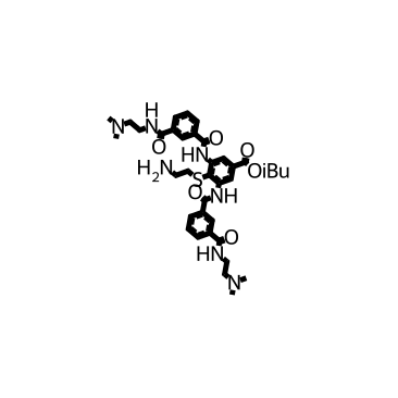 CC(C)COC(=O)c1cc(NC(=O)c2cccc(C(=O)NCCN(C)C)c2)c(SCCN)c(NC(=O)c2cccc(C(=O)NCCN(C)C)c2)c1